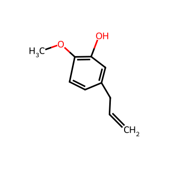 C=CCc1ccc(OC)c(O)c1